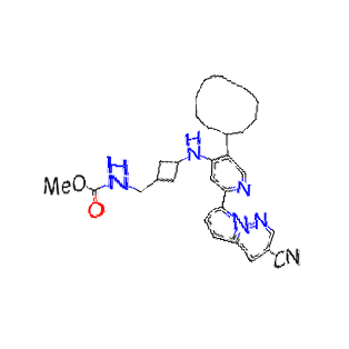 COC(=O)NCC1CC(Nc2cc(-c3ccc4cc(C#N)cnn34)ncc2C2CCCCCCCCC2)C1